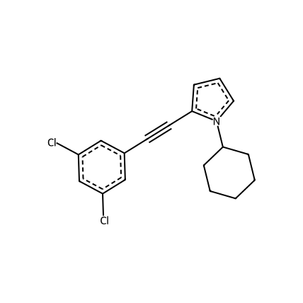 Clc1cc(Cl)cc(C#Cc2cccn2C2CCCCC2)c1